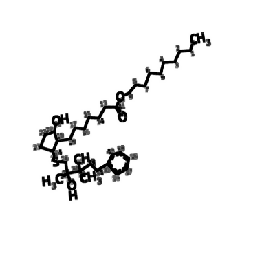 CCCCCCCCCCOC(=O)CCCCCCC1C(O)CCC1SCC(C)(O)C(C)(C)CCc1ccccc1